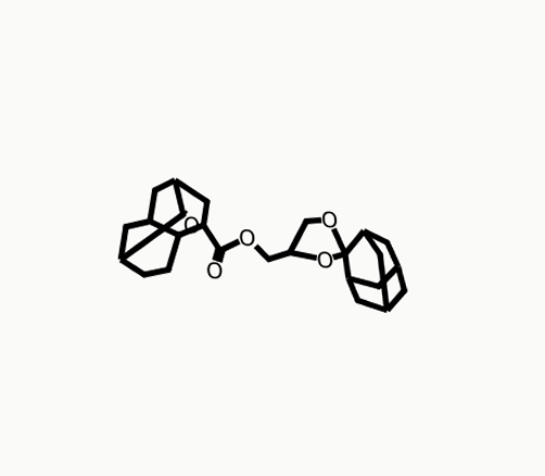 O=C1C2CCC3C(C2)CC1CC3C(=O)OCC1COC2(O1)C1CC3CC(C1)CC2C3